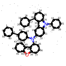 c1ccc(-c2ccc(N(c3ccc4c(c3)c3c(-c5ccccc5)cccc3n4-c3ccccc3)c3cccc4oc5ccccc5c34)cc2)cc1